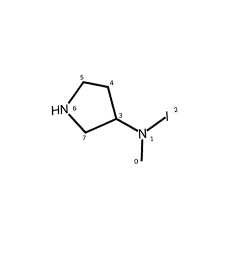 CN(I)C1CCNC1